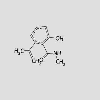 C=C(C)c1cccc(O)c1C(=O)NC